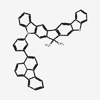 CC1(C)c2cc3oc4ccccc4c3cc2-c2cc3c4ccccc4n(-c4cccc(C5=CC=C6c7ccccc7C7=CC=CC5C76)c4)c3cc21